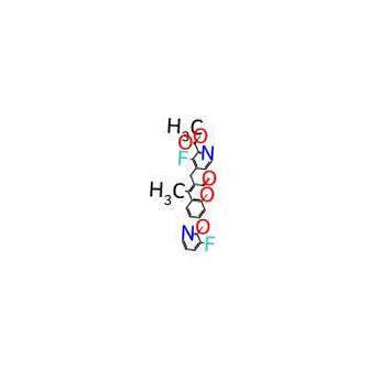 COC(=O)c1nccc(Cc2c(C)c3ccc(Oc4ncccc4F)cc3oc2=O)c1F